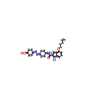 CC(C)CCCOc1cccc2[nH]c(C(=O)NC3CCN(CCN4CCC(O)CC4)CC3)cc12